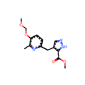 COCOc1ccc(Cc2cn[nH]c2C(=O)OC)nc1C